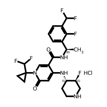 C[C@@H](NC(=O)c1cn(C2(C(F)F)CC2)c(=O)cc1N[C@H]1CCNC[C@@H]1F)c1cccc(C(F)F)c1F.Cl